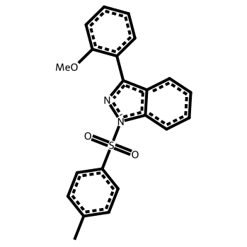 COc1ccccc1-c1nn(S(=O)(=O)c2ccc(C)cc2)c2ccccc12